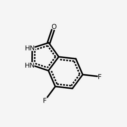 O=c1[nH][nH]c2c(F)cc(F)cc12